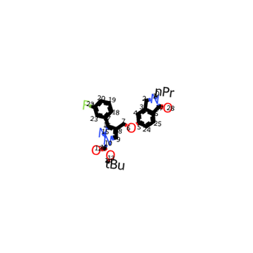 CCCN1Cc2cc(OCc3cn(C(=O)OC(C)(C)C)nc3-c3cccc(F)c3)ccc2C1=O